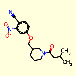 CC(C)CC(=O)N1CCCC(COc2ccc(C#N)c([N+](=O)[O-])c2)C1